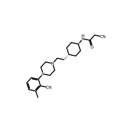 Cc1cccc(N2CCN(CC[C@H]3CC[C@H](NC(=O)CC#N)CC3)CC2)c1C#N